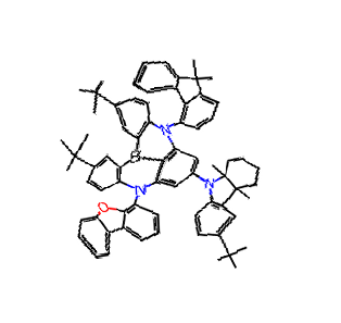 CC(C)(C)c1ccc2c(c1)B1c3cc(C(C)(C)C)ccc3N(c3cccc4c3oc3ccccc34)c3cc(N4c5ccc(C(C)(C)C)cc5C5(C)CCCCC45C)cc(c31)N2c1cccc2c1-c1ccccc1C2(C)C